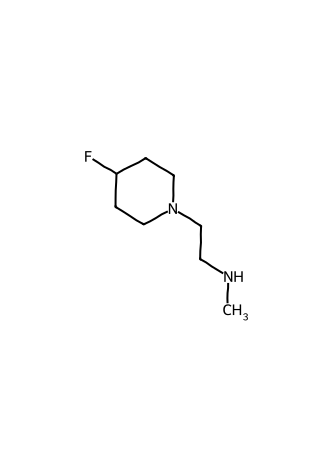 CNCCN1CCC(F)CC1